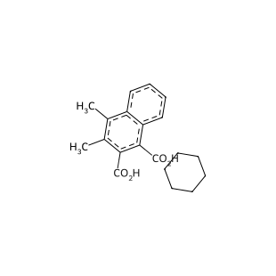 C1CCCCC1.Cc1c(C(=O)O)c(C(=O)O)c2ccccc2c1C